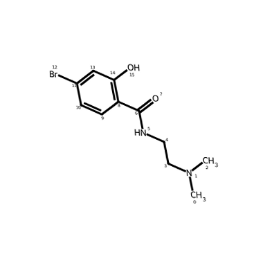 CN(C)CCNC(=O)c1ccc(Br)cc1O